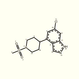 CS(=O)(=O)N1CCC(c2cc(Cl)cc3[nH]ncc23)CC1